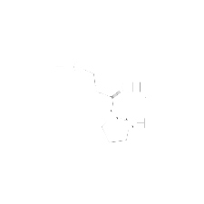 C=C(SCC)N1CCCN1